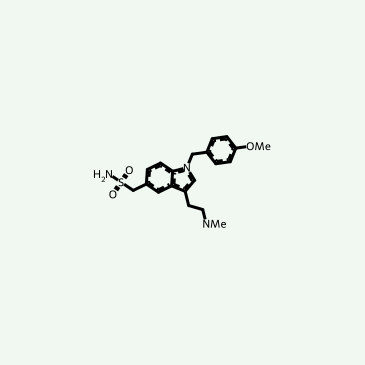 CNCCc1cn(Cc2ccc(OC)cc2)c2ccc(CS(N)(=O)=O)cc12